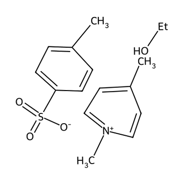 CCO.Cc1cc[n+](C)cc1.Cc1ccc(S(=O)(=O)[O-])cc1